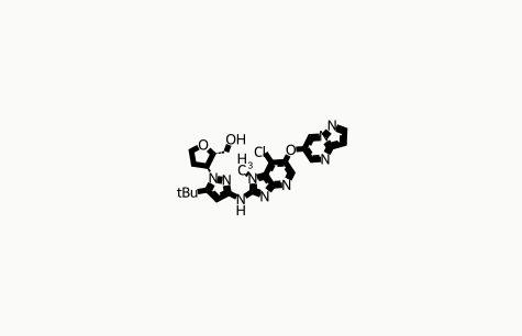 Cn1c(Nc2cc(C(C)(C)C)n([C@@H]3CCO[C@@H]3CO)n2)nc2ncc(Oc3cnc4ccnn4c3)c(Cl)c21